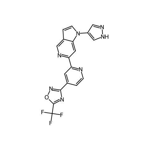 FC(F)(F)c1nc(-c2ccnc(-c3cc4c(ccn4-c4cn[nH]c4)cn3)c2)no1